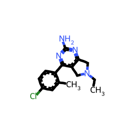 CCN1Cc2nc(N)nc(-c3ccc(Cl)cc3C)c2C1